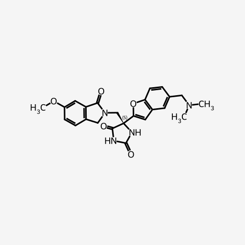 COc1ccc2c(c1)C(=O)N(C[C@@]1(c3cc4cc(CN(C)C)ccc4o3)NC(=O)NC1=O)C2